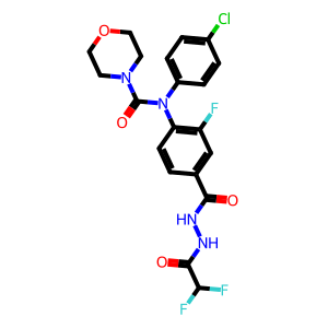 O=C(NNC(=O)C(F)F)c1ccc(N(C(=O)N2CCOCC2)c2ccc(Cl)cc2)c(F)c1